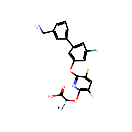 C[C@@H](Oc1nc(Oc2cc(Cl)cc(-c3cccc(CN)c3)c2)c(F)cc1F)C(=O)O